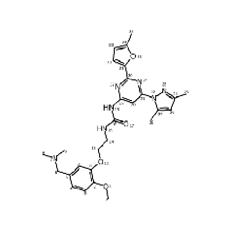 COc1ccc(CN(C)C)cc1OCCNC(=O)Nc1cc(-n2nc(C)cc2C)nc(-c2ccc(C)o2)n1